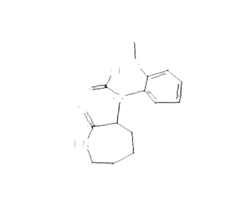 COc1ccccc1N(C(=O)O)C1CCCCNC1=O